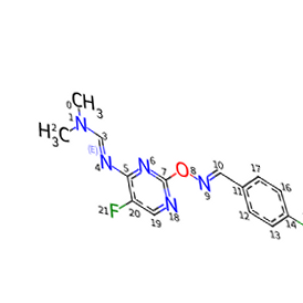 CN(C)/C=N/c1nc(ON=Cc2ccc(Cl)cc2)ncc1F